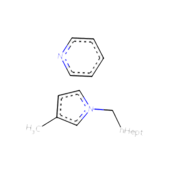 CCCCCCCCn1ccc(C)c1.c1ccncc1